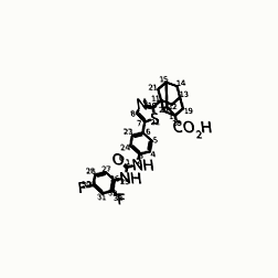 O=C(Nc1ccc(-c2cnc(C34CC5CC(CC(C(=O)O)(C5)C3)C4)s2)cc1)Nc1ccc(F)cc1F